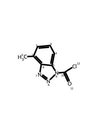 Cc1cccc2c1nnn2C(=O)Cl